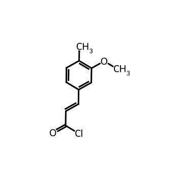 COc1cc(/C=C/C(=O)Cl)ccc1C